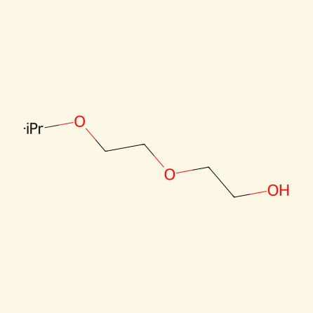 C[C](C)OCCOCCO